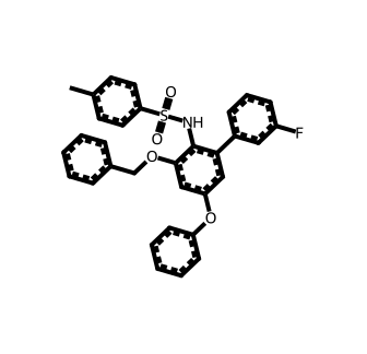 Cc1ccc(S(=O)(=O)Nc2c(OCc3ccccc3)cc(Oc3ccccc3)cc2-c2cccc(F)c2)cc1